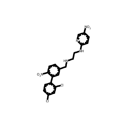 O=[N+]([O-])c1ccc(NCCNCc2ccc([N+](=O)[O-])c(-c3ccc(Cl)cc3Cl)c2)nc1